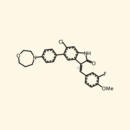 COc1ccc(/C=C2\C(=O)Nc3cc(Cl)c(-c4ccc(N5CCCOCC5)cc4)cc32)cc1F